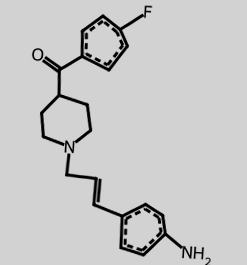 Nc1ccc(C=CCN2CCC(C(=O)c3ccc(F)cc3)CC2)cc1